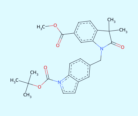 COC(=O)c1ccc2c(c1)N(Cc1ccc3c(ccn3C(=O)OC(C)(C)C)c1)C(=O)C2(C)C